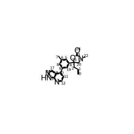 C=CCC1(c2cc(C)cc(-c3ccnc4[nH]ncc34)c2)CN(C)C(=O)O1